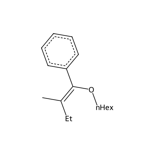 CCCCCCOC(=C(C)CC)c1ccccc1